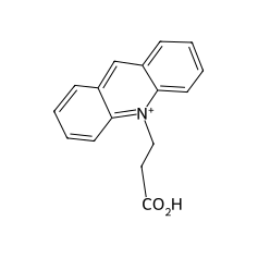 O=C(O)CC[n+]1c2ccccc2cc2ccccc21